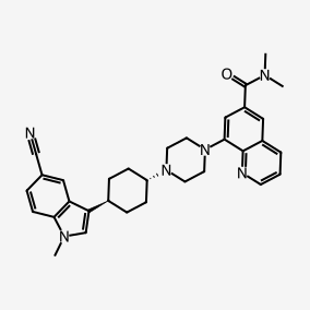 CN(C)C(=O)c1cc(N2CCN([C@H]3CC[C@H](c4cn(C)c5ccc(C#N)cc54)CC3)CC2)c2ncccc2c1